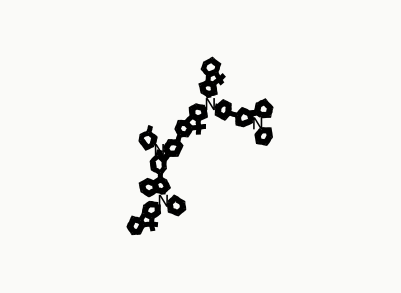 CC1C=C(n2c3c(c4ccc(-c5ccc6c(c5)C(C)(C)c5cc(N(c7ccc(-c8ccc9c(c8)c8ccccc8n9-c8ccccc8)cc7)c7ccc8c(c7)C(C)(C)C7=C8CCC=C7)ccc5-6)cc42)CC(c2ccc(N(c4ccccc4)c4ccc5c(c4)C(C)(C)c4ccccc4-5)c4ccccc24)C=C3)C=CC1